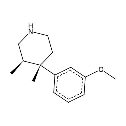 COc1cccc([C@@]2(C)CCNC[C@@H]2C)c1